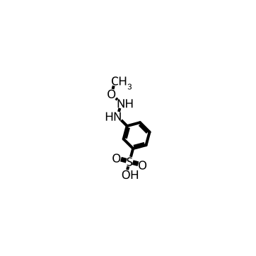 CONNc1cccc(S(=O)(=O)O)c1